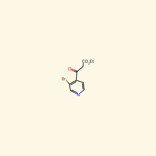 CCOC(=O)CC(=O)c1ccncc1Br